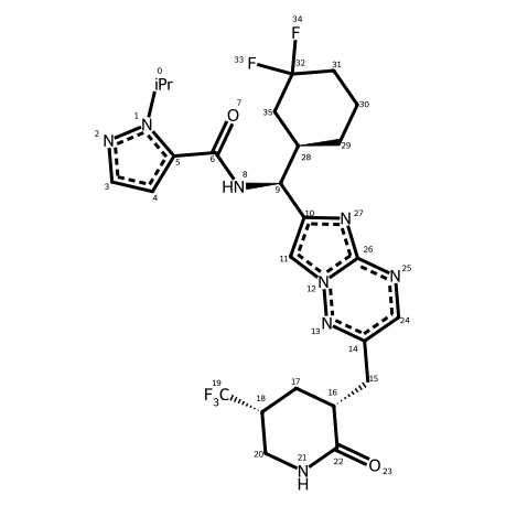 CC(C)n1nccc1C(=O)N[C@H](c1cn2nc(C[C@H]3C[C@@H](C(F)(F)F)CNC3=O)cnc2n1)[C@@H]1CCCC(F)(F)C1